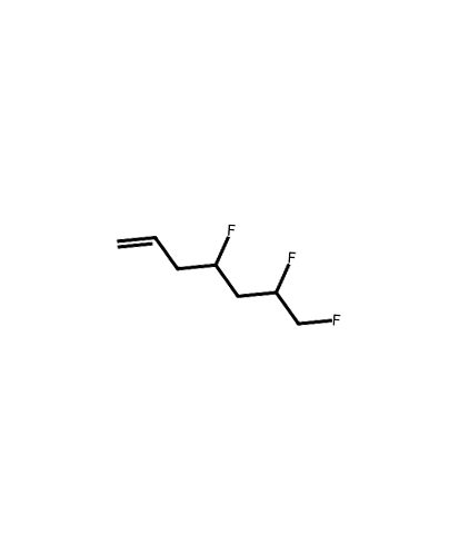 C=CCC(F)CC(F)CF